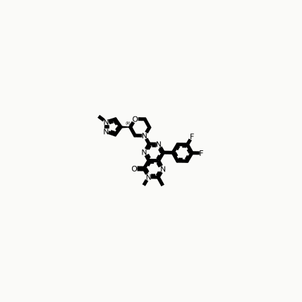 Cc1nc2c(-c3ccc(F)c(F)c3)nc(N3CCO[C@H](c4cnn(C)c4)C3)nc2c(=O)n1C